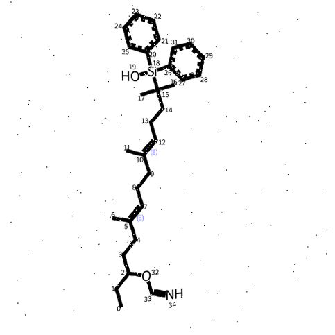 CCC(CC/C(C)=C/CC/C(C)=C/CCC(C)(C)[Si](O)(c1ccccc1)c1ccccc1)OC=N